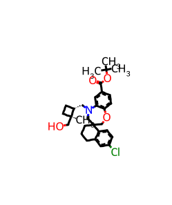 CC(C)(C)OC(=O)c1ccc2c(c1)N(C[C@H]1CC[C@]1(C)CO)CC1(CCCc3cc(Cl)ccc31)CO2